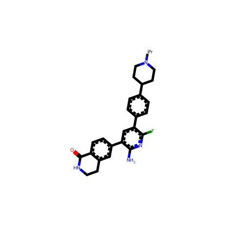 CC(C)N1CCC(c2ccc(-c3cc(-c4ccc5c(c4)CCNC5=O)c(N)nc3F)cc2)CC1